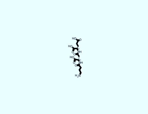 NCCCC(=O)N[C@@H](CC(=O)N[C@@H](CCC(=O)O)C(=O)O)C(=O)O